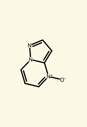 [O-][n+]1cccn2nccc21